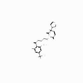 C=C(CCCCN1C(=O)C=CC(C)(C2C=CSC2)C1=O)c1c(CCC)cc(C(O)(C(F)(F)F)C(F)(F)F)cc1CCC